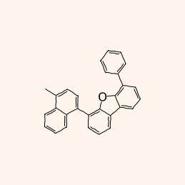 Cc1ccc(-c2cccc3c2oc2c(-c4ccccc4)cccc23)c2ccccc12